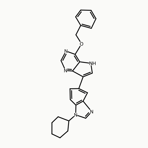 c1ccc(COc2ncnc3c(-c4ccc5c(c4)ncn5C4CCCCC4)c[nH]c23)cc1